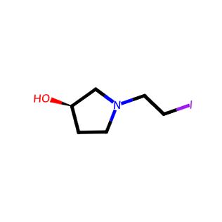 O[C@@H]1CCN(CCI)C1